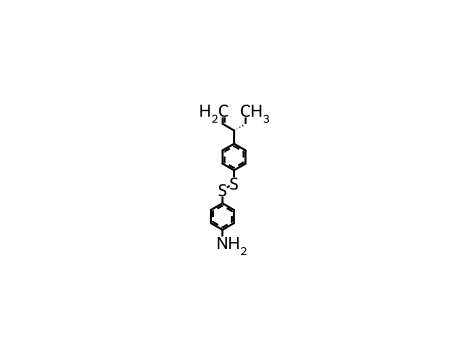 C=C[C@H](CC)c1ccc(SSc2ccc(N)cc2)cc1